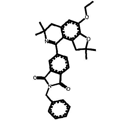 CCOc1cc2c(c3c1OC(C)(C)C3)C(c1ccc3c(c1)C(=O)N(Cc1ccccc1)C3=O)=NC(C)(C)C2